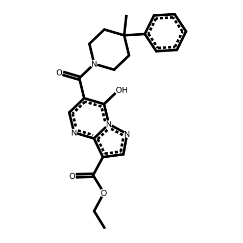 CCOC(=O)c1cnn2c(O)c(C(=O)N3CCC(C)(c4ccccc4)CC3)cnc12